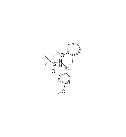 COc1ccc([C@@H](Cc2ccccc2OC)N[S+]([O-])C(C)(C)C)cc1